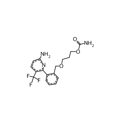 NC(=O)OCCCOCc1ccccc1-c1nc(N)ccc1C(F)(F)F